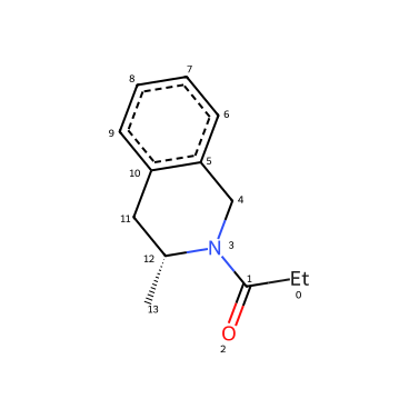 CCC(=O)N1Cc2ccccc2C[C@H]1C